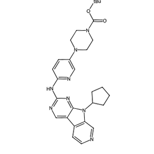 CC(C)(C)OC(=O)N1CCN(c2ccc(Nc3ncc4c5ccncc5n(C5CCCC5)c4n3)nc2)CC1